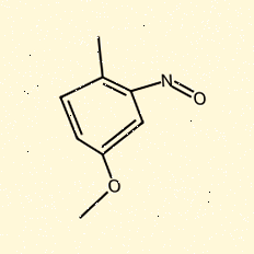 COc1ccc(C)c(N=O)c1